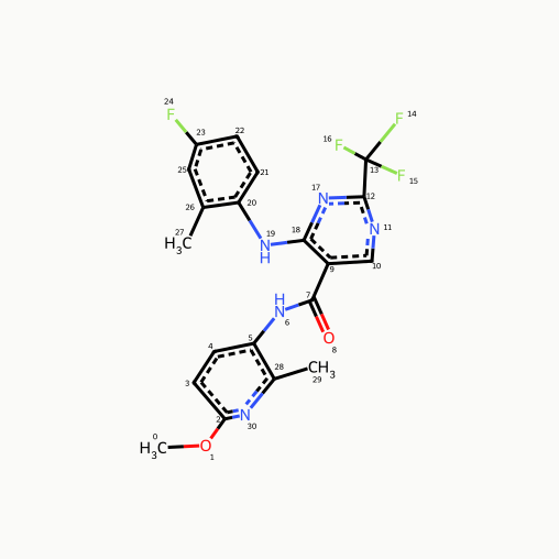 COc1ccc(NC(=O)c2cnc(C(F)(F)F)nc2Nc2ccc(F)cc2C)c(C)n1